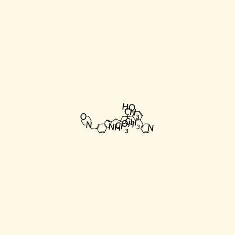 CC(C)(CC(O)(Cc1cc2cc(CN3CCOCC3)ccc2[nH]1)C(F)(F)F)c1cc(-c2cccnc2)ccc1O